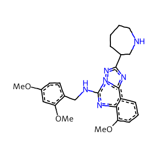 COc1ccc(CNc2nc3c(OC)cccc3c3nc(C4CCCCNC4)nn23)c(OC)c1